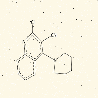 N#Cc1c(Cl)nc2ccccc2c1N1CCCCC1